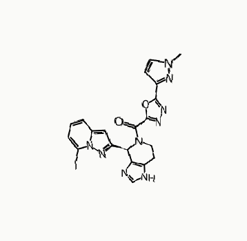 Cn1ccc(-c2nnc(C(=O)N3CCc4[nH]cnc4[C@H]3c3cc4cccc(I)n4n3)o2)n1